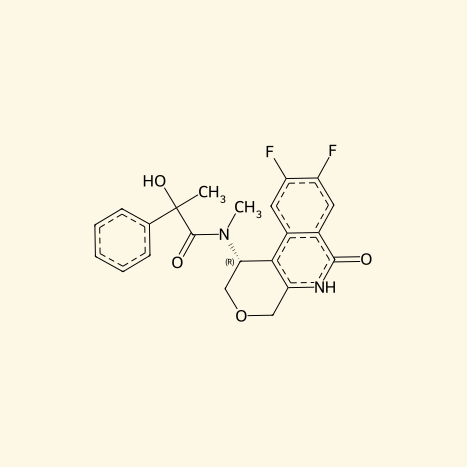 CN(C(=O)C(C)(O)c1ccccc1)[C@H]1COCc2[nH]c(=O)c3cc(F)c(F)cc3c21